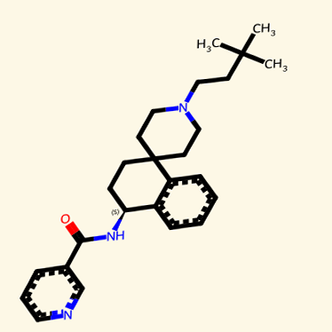 CC(C)(C)CCN1CCC2(CC[C@H](NC(=O)c3cccnc3)c3ccccc32)CC1